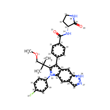 COCC(C)(C)c1c(-c2ccc(C(=O)N[C@@H]3CCNC3=O)cc2)c2cc3[nH]ncc3cc2n1-c1ccc(F)cc1